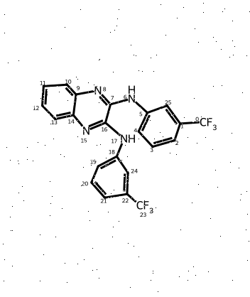 FC(F)(F)c1cccc(Nc2nc3ccccc3nc2Nc2cccc(C(F)(F)F)c2)c1